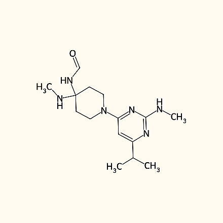 CNc1nc(C(C)C)cc(N2CCC(NC)(NC=O)CC2)n1